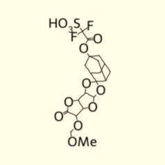 COCOC1C(=O)OC2C3OC4(OC3OC12)C1CC2CC4CC(OC(=O)C(F)(F)S(=O)(=O)O)(C2)C1